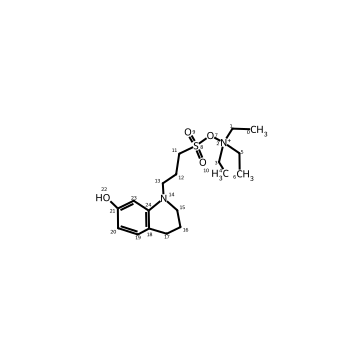 CC[N+](CC)(CC)OS(=O)(=O)CCCN1CCCc2ccc(O)cc21